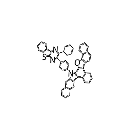 C1=CCC(c2nc3c(nc2-c2ccc(-n4c5cc6ccccc6cc5c5c6ccccc6c6c7ccc8ccccc8c7oc6c54)cc2)sc2ccccc23)C=C1